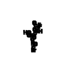 COc1ccc(CC(=O)Nc2ccc(C(=O)N(CC(=O)O)Cc3ccc(-c4coc(C5=CC=C(Br)CC5)n4)cc3)cc2)c(C(F)(F)F)c1